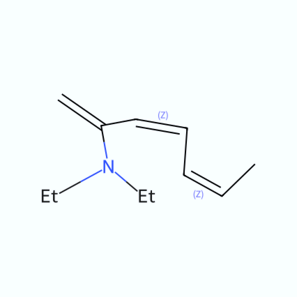 C=C(/C=C\C=C/C)N(CC)CC